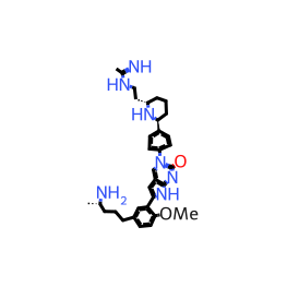 COc1ccc(CCC[C@H](C)N)cc1-c1cc2cn(-c3ccc([C@@H]4CCC[C@@H](CCNC(C)=N)N4)cc3)c(=O)nc2[nH]1